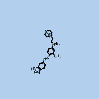 CCN(CC[N+]12CCN(CC1)CC2)c1ccc(N=Nc2ccc3nn[nH]c3c2)c(C)c1